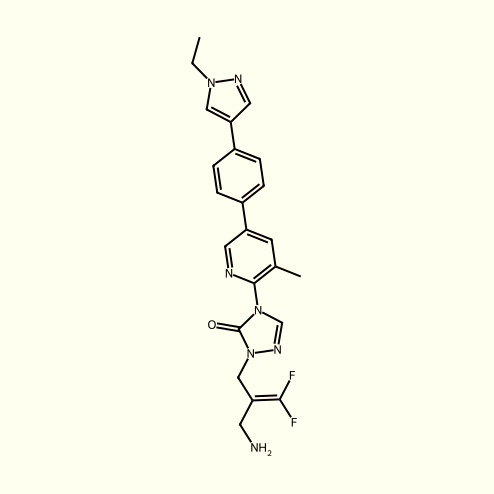 CCn1cc(-c2ccc(-c3cnc(-n4cnn(CC(CN)=C(F)F)c4=O)c(C)c3)cc2)cn1